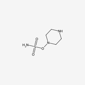 NS(=O)(=O)ON1CCNCC1